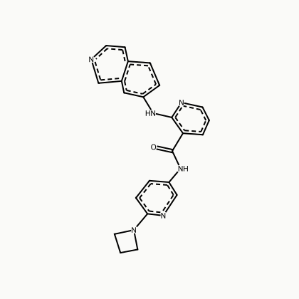 O=C(Nc1ccc(N2CCC2)nc1)c1cccnc1Nc1ccc2ccncc2c1